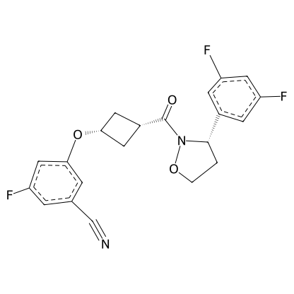 N#Cc1cc(F)cc(O[C@H]2C[C@@H](C(=O)N3OCC[C@H]3c3cc(F)cc(F)c3)C2)c1